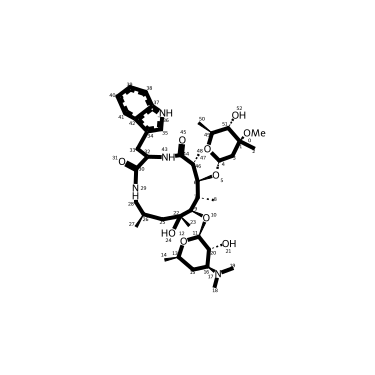 CO[C@]1(C)C[C@H](O[C@H]2[C@H](C)[C@@H](O[C@@H]3O[C@H](C)C[C@H](N(C)C)[C@H]3O)[C@](C)(O)C[C@@H](C)CNC(=O)C(Cc3c[nH]c4ccccc34)NC(=O)[C@@H]2C)O[C@@H](C)[C@@H]1O